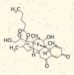 CCCCC(=O)O[C@]1(C(=O)CO)C(C)C[C@H]2[C@@H]3CC(=O)C4=CC(=O)C=C[C@]4(C)[C@@]3(F)C(O)C[C@@]21C